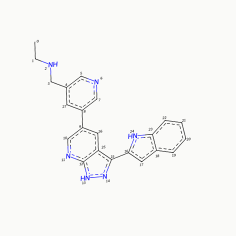 CCNCc1cncc(-c2cnc3[nH]nc(-c4cc5ccccc5[nH]4)c3c2)c1